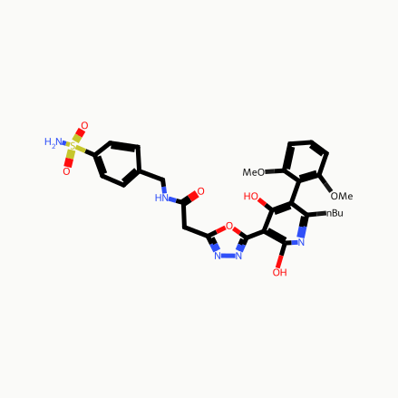 CCCCc1nc(O)c(-c2nnc(CC(=O)NCc3ccc(S(N)(=O)=O)cc3)o2)c(O)c1-c1c(OC)cccc1OC